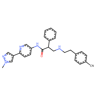 Cn1cc(-c2ccc(NC(=O)C(CNCCc3ccc(C#N)cc3)c3ccccc3)cn2)cn1